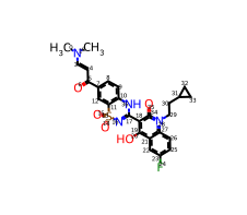 CN(C)C=CC(=O)c1ccc2c(c1)S(=O)(=O)N=C(c1c(O)c3cc(F)ccc3n(CCC3CC3)c1=O)N2